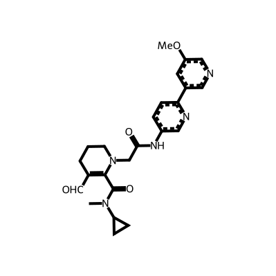 COc1cncc(-c2ccc(NC(=O)CN3CCCC(C=O)=C3C(=O)N(C)C3CC3)cn2)c1